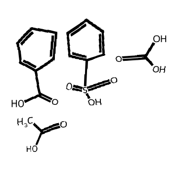 CC(=O)O.O=C(O)O.O=C(O)c1ccccc1.O=S(=O)(O)c1ccccc1